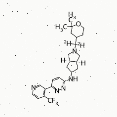 [2H]C([2H])(C1CCOC(C)(C)C1)N1C[C@H]2CC(Nc3ccc(-c4cnccc4C(F)(F)F)nn3)C[C@H]2C1